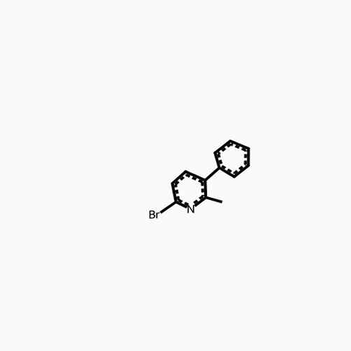 Cc1nc(Br)ccc1-c1ccccc1